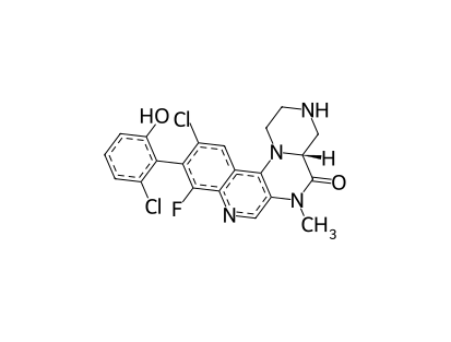 CN1C(=O)[C@H]2CNCCN2c2c1cnc1c(F)c(-c3c(O)cccc3Cl)c(Cl)cc21